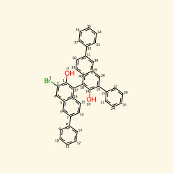 Oc1c(Br)cc2cc(-c3ccccc3)ccc2c1-c1c(O)c(-c2ccccc2)cc2cc(-c3ccccc3)ccc12